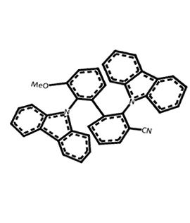 COc1cccc(-c2cccc(C#N)c2-n2c3ccccc3c3ccccc32)c1-n1c2ccccc2c2ccccc21